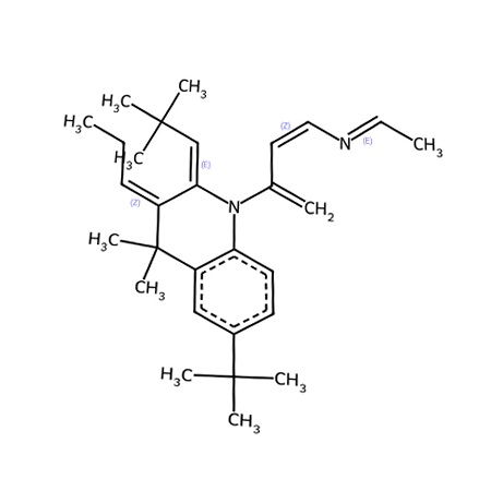 C=C(/C=C\N=C\C)N1C(=C/C(C)(C)C)/C(=C\CC)C(C)(C)c2cc(C(C)(C)C)ccc21